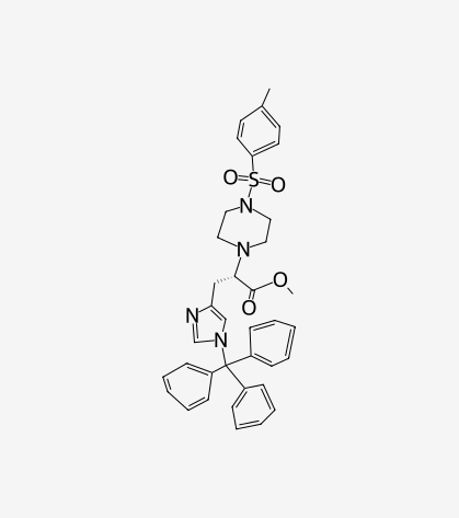 COC(=O)[C@H](Cc1cn(C(c2ccccc2)(c2ccccc2)c2ccccc2)cn1)N1CCN(S(=O)(=O)c2ccc(C)cc2)CC1